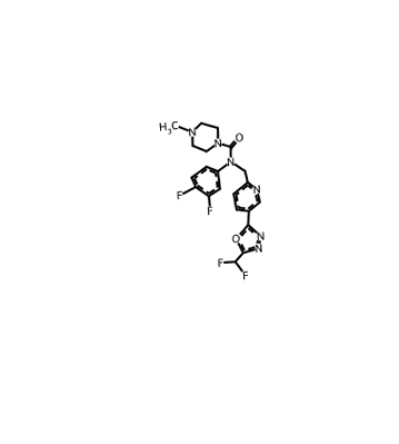 CN1CCN(C(=O)N(Cc2ccc(-c3nnc(C(F)F)o3)cn2)c2ccc(F)c(F)c2)CC1